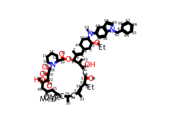 CCOC1CC(C=C(C)C2OC(=O)C3CCCCN3C(=O)C(=O)C3(O)OC(C(OC)CC(C)C/C(C)=C/C(CC)C(=O)CC(O)C2C)C(OC)CC3C)CCC1N(C)c1ccc2c(ccn2Cc2ccccc2)c1